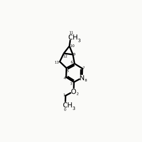 CCOc1cc2c(cn1)C1C(C)C1C2